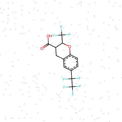 O=C(O)C1Cc2cc(C(F)(F)C(F)(F)F)ccc2OC1C(F)(F)F